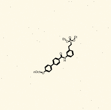 CCCCCCCCOc1ccc(-c2ccc(C(=O)Nc3cccc(CCP(=O)(OCC)OCC)c3)cc2)cc1